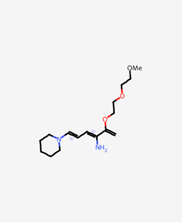 C=C(OCCOCCOC)/C(N)=C/C=C/N1CCCCC1